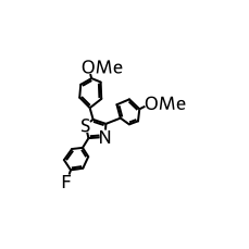 COc1ccc(-c2nc(-c3ccc(F)cc3)sc2-c2ccc(OC)cc2)cc1